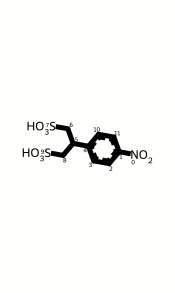 O=[N+]([O-])c1ccc(C(CS(=O)(=O)O)CS(=O)(=O)O)cc1